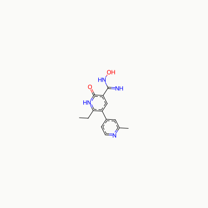 CCc1[nH]c(=O)c(C(=N)NO)cc1-c1ccnc(C)c1